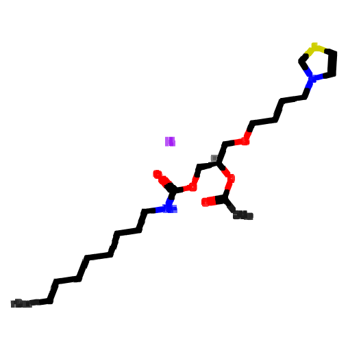 CCCCCCCCCCCCCCCCCCNC(=O)OC[C@@H](COCCCCN1C=CSC1)OC(=O)OC.I